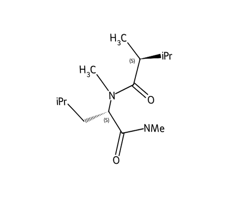 CNC(=O)[C@H](CC(C)C)N(C)C(=O)[C@@H](C)C(C)C